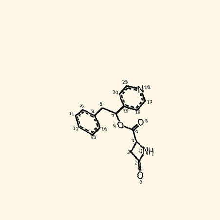 O=C1CC(C(=O)OC(Cc2ccccc2)c2ccncc2)N1